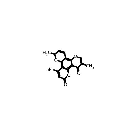 CCCc1[c]c(=O)oc2c1c1c(c3occ(C)c(=O)c32)C=CC(C)O1